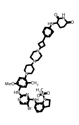 COc1cc(N2CCC(N3CCN(C4CC(c5ccc(NC6CCC(=O)NC6=O)cc5)C4)CC3)CC2)c(C)cc1Nc1ncc(Br)c(Nc2cccc3c2N(S(C)(=O)=O)CC3)n1